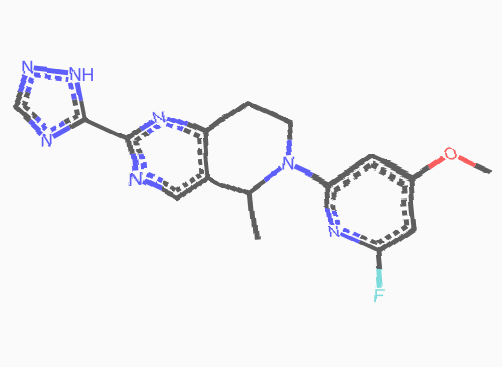 COc1cc(F)nc(N2CCc3nc(-c4ncn[nH]4)ncc3C2C)c1